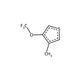 Cc1cscc1OC(F)(F)F